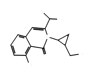 Cc1cccc2cc(C(C)N)n(C3CC3CO)c(=O)c12